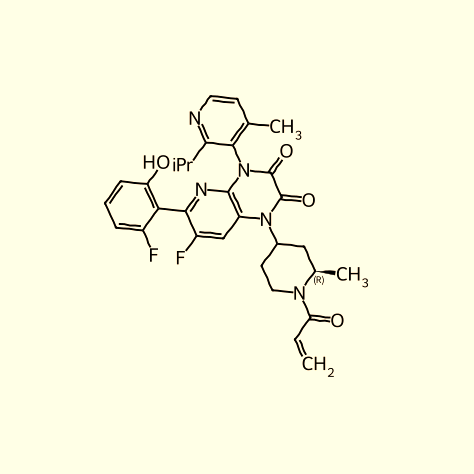 C=CC(=O)N1CCC(n2c(=O)c(=O)n(-c3c(C)ccnc3C(C)C)c3nc(-c4c(O)cccc4F)c(F)cc32)C[C@H]1C